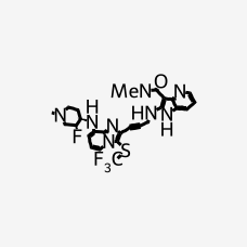 CNC(=O)c1c(NCC#Cc2nc3c(N[C@@H]4CCN(C)C[C@@H]4F)cccn3c2SC(F)(F)F)[nH]c2cccnc12